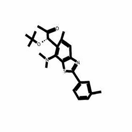 CC(=O)[C@@H](OC(C)(C)C)c1c(C)cc2nc(-c3cccc(C)c3)sc2c1N(C)C